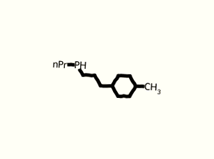 CCCPCCCC1CCC(C)CC1